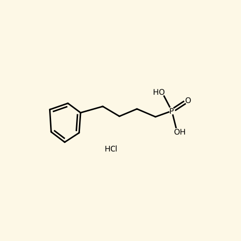 Cl.O=P(O)(O)CCCCc1ccccc1